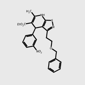 CCOC(=O)C1=C(C)Nc2snc(CCOCc3ccccc3)c2C1c1cccc([N+](=O)[O-])c1